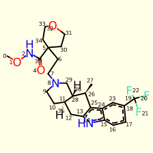 CONC(=O)C1(CCN2CC[C@@H]3Cc4[nH]c5ccc(C(F)(F)F)cc5c4[C@H](C)[C@H]3C2)CCOCC1